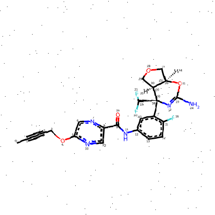 CC#CCOc1cnc(C(=O)Nc2ccc(F)c([C@@]3(C(F)F)N=C(N)O[C@@H]4COC[C@@H]43)c2)cn1